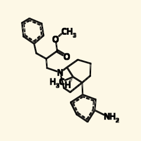 COC(=O)C(Cc1ccccc1)CN1CCC2(c3cccc(N)c3)CCCC1[C@@H]2C